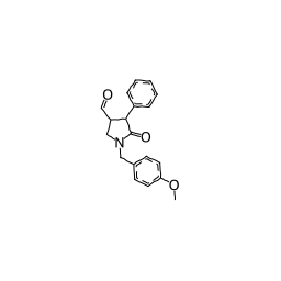 COc1ccc(CN2CC(C=O)C(c3ccccc3)C2=O)cc1